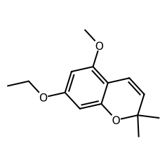 CCOc1cc(OC)c2c(c1)OC(C)(C)C=C2